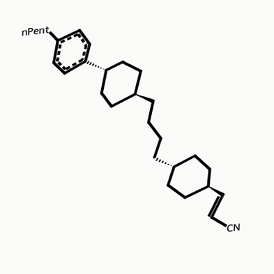 CCCCCc1ccc([C@H]2CC[C@H](CCCC[C@H]3CC[C@H](/C=C/C#N)CC3)CC2)cc1